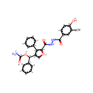 N#Cc1cc(C(=O)NNC(=O)c2occ(C(OC(N)=O)c3ccccc3)c2-c2ccccc2)ccc1O